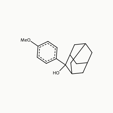 COc1ccc(C2(O)C3CC4CC(C3)CC2C4)cc1